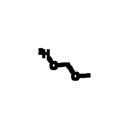 [2H]OCOC